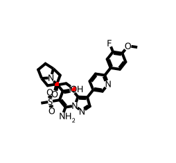 COc1ccc(-c2ccc(-c3cnn4c(N)c(S(C)(=O)=O)c(C5CC6CCC(C5)N6C(=O)CO)nc34)cn2)cc1F